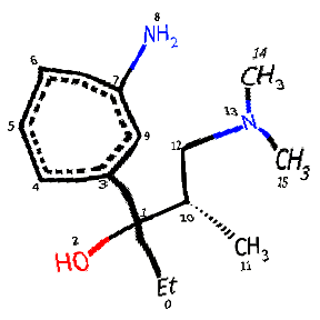 CCC(O)(c1cccc(N)c1)[C@@H](C)CN(C)C